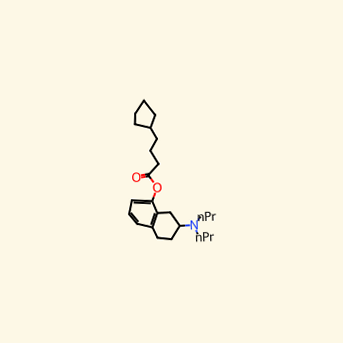 CCCN(CCC)C1CCc2cccc(OC(=O)CCCC3CCCC3)c2C1